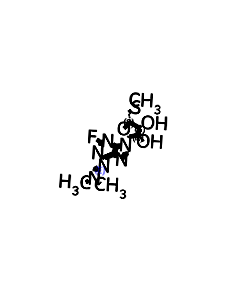 CSC[C@H]1OC(n2cnc3c(/N=C/N(C)C)nc(F)nc32)[C@H](O)[C@@H]1O